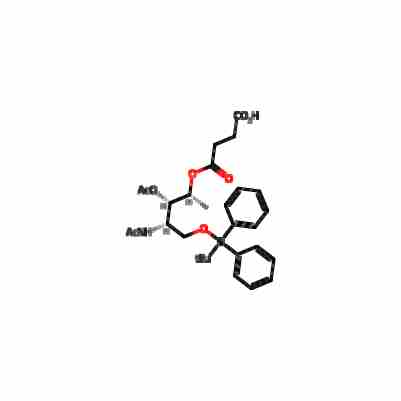 CC(=O)N[C@@H](CO[Si](c1ccccc1)(c1ccccc1)C(C)(C)C)[C@H](OC(C)=O)[C@@H](C)OC(=O)CCC(=O)O